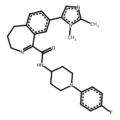 Cc1ncc(-c2ccc3c(c2)C(C(=O)NC2CCN(c4ccc(F)cc4)CC2)=NCCC3)n1C